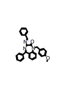 COc1ccc(CN2C(=O)C(/N=C/c3ccccc3)N=C(c3ccccc3)c3ccccc32)cc1